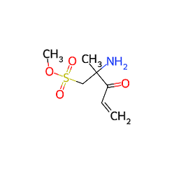 C=CC(=O)C(C)(N)CS(=O)(=O)OC